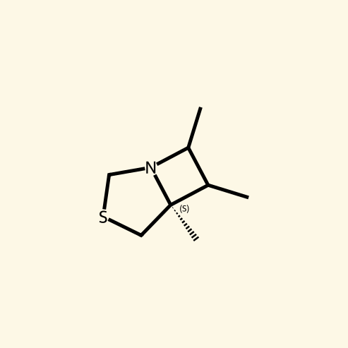 CC1C(C)[C@@]2(C)CSCN12